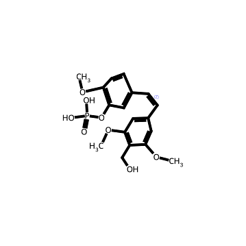 COc1ccc(/C=C\c2cc(OC)c(CO)c(OC)c2)cc1OP(=O)(O)O